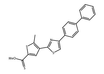 COC(=S)c1cc(-c2nc(-c3ccc(-c4ccccc4)cc3)cs2)c(C)s1